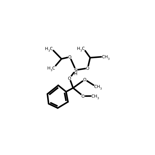 COC(OC)(O[SiH](OC(C)C)OC(C)C)c1ccccc1